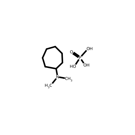 CN(C)C1CCCCCC1.O=P(O)(O)O